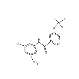 Nc1cc(Cl)cc(NC(=O)c2cccc(OC(F)(F)F)c2)c1